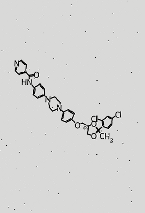 C[C@@]1(c2ccc(Cl)cc2Cl)OC[C@@H](COc2ccc(N3CCN(c4ccc(NC(=O)c5ccncc5)cc4)CC3)cc2)O1